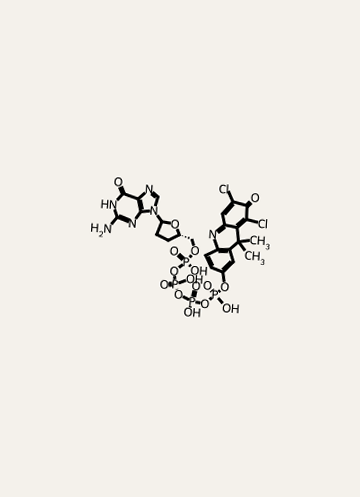 CC1(C)C2=C(Cl)C(=O)C(Cl)=CC2=Nc2ccc(OP(=O)(O)OP(=O)(O)OP(=O)(O)OP(=O)(O)OC[C@@H]3CCC(n4cnc5c(=O)[nH]c(N)nc54)O3)cc21